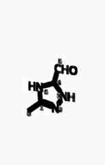 CC1=NNC(C=O)N1